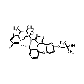 COc1cccc(OC)c1-n1c(NS(=O)(=O)C(C)C(C)c2ncc(F)cn2)nnc1-c1cccc(OCC(O)(C(F)(F)F)C(F)(F)F)n1